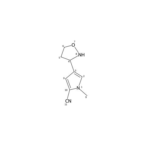 Cn1cc(C2CCON2)cc1C#N